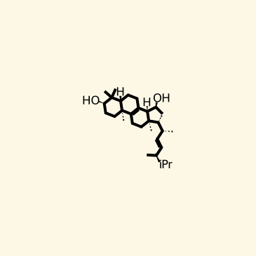 CC(C)[C@@H](C)C=C[C@@H](C)[C@H]1C[C@H](O)[C@@H]2C3=C(CC[C@]12C)[C@@]1(C)CC[C@H](O)C(C)(C)[C@@H]1CC3